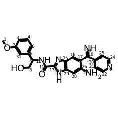 COc1cccc(C(CO)NC(=O)c2nc3cc(C(=N)c4ccncc4)c(N)cc3[nH]2)c1